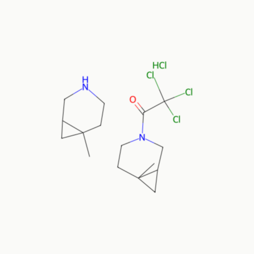 CC12CCN(C(=O)C(Cl)(Cl)Cl)CC1C2.CC12CCNCC1C2.Cl